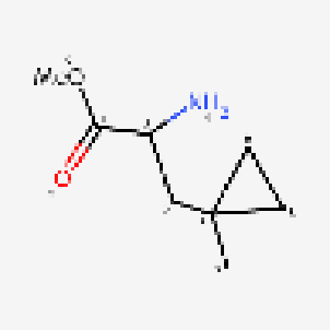 COC(=O)C(N)CC1(C)CC1